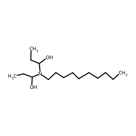 CCCCCCCCCCN(C(O)CC)C(O)CC